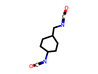 O=C=NCC1CCC(N=C=O)CC1